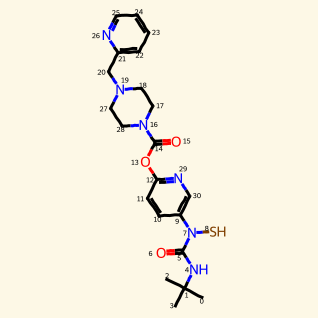 CC(C)(C)NC(=O)N(S)c1ccc(OC(=O)N2CCN(Cc3ccccn3)CC2)nc1